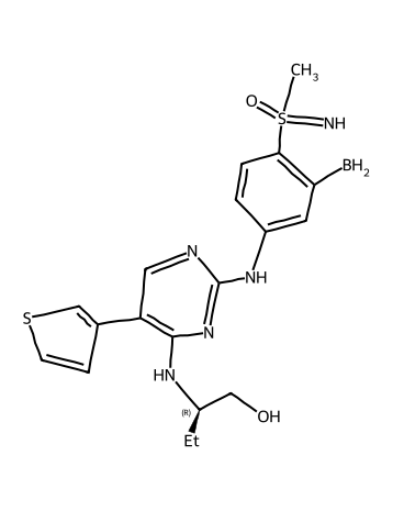 Bc1cc(Nc2ncc(-c3ccsc3)c(N[C@H](CC)CO)n2)ccc1S(C)(=N)=O